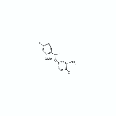 COc1cc(F)ccc1C(C)Oc1ccc(Cl)c(N)c1